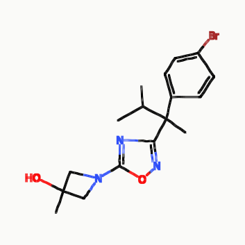 CC(C)C(C)(c1ccc(Br)cc1)c1noc(N2CC(C)(O)C2)n1